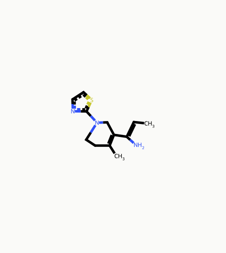 C/C=C(\N)C1=C(C)CCN(c2nccs2)C1